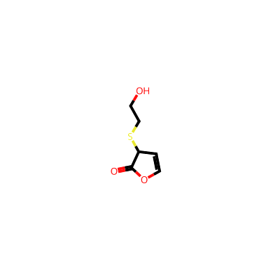 O=C1OC=CC1SCCO